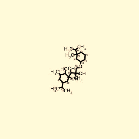 CC(C)C1CC(C)C(O)C(O)(C(O)C(C)(O)COC2CCCC(C)(C(C)C)C2)C1